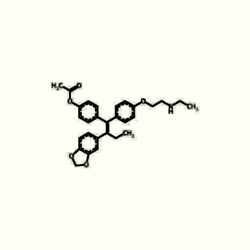 CCNCCOc1ccc(C(=C(CC)c2ccc3c(c2)OCO3)c2ccc(OC(C)=O)cc2)cc1